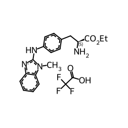 CCOC(=O)[C@@H](N)Cc1ccc(Nc2nc3ccccc3n2C)cc1.O=C(O)C(F)(F)F